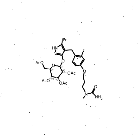 CC(=O)OC[C@H]1O[C@@H](Oc2n[nH]c(C(C)C)c2Cc2ccc(OCCCN(C)C(N)=O)cc2C)[C@H](OC(C)=O)[C@@H](OC(C)=O)[C@@H]1OC(C)=O